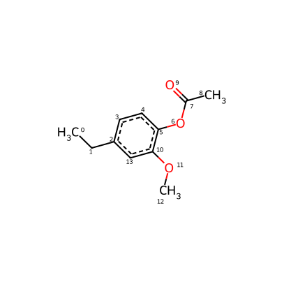 CCc1ccc(OC(C)=O)c(OC)c1